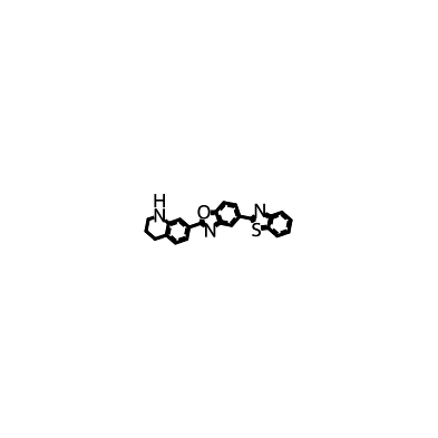 c1ccc2sc(-c3ccc4oc(-c5ccc6c(c5)NCCC6)nc4c3)nc2c1